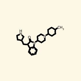 CC1CCC(N2CCC(N3C(=O)C(CC4CCNC4)c4ccccc43)CC2)CC1